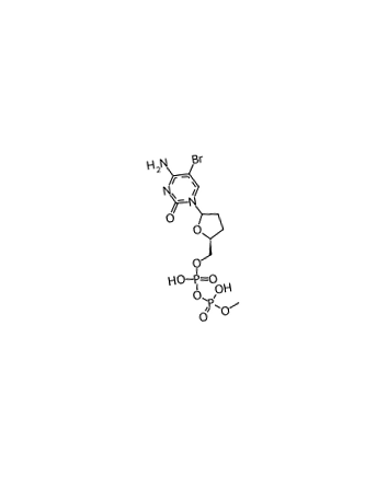 COP(=O)(O)OP(=O)(O)OC[C@@H]1CCC(n2cc(Br)c(N)nc2=O)O1